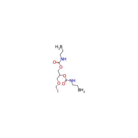 BCCNC(=O)OCC(COCI)OC(=O)NCCB